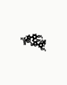 Cc1cc([C@H]2OC(=O)N(Cc3cc(C)ccc3-c3nc(C(C)(C)O)cs3)[C@H]2C)cc(C(F)(F)F)c1